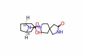 O=C1CC2(CCN([C@H]3C[C@H]4CC[C@@H](C3)N4C(=O)O)CC2)CN1